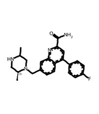 CC1CN(Cc2ccc3c(-c4ccc(F)cc4)cc(C(N)=O)nc3c2)[C@@H](C)CN1